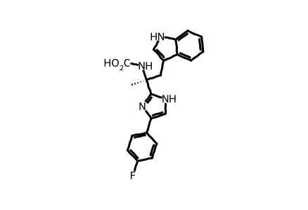 C[C@@](Cc1c[nH]c2ccccc12)(NC(=O)O)c1nc(-c2ccc(F)cc2)c[nH]1